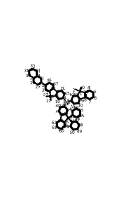 CC1(C)c2ccccc2-c2ccc(N(c3ccc4c(c3)C(C)(C)c3cc(-c5ccc6ccccc6c5)ccc3-4)c3ccc4c(c3)C(c3ccccc3)(c3ccccc3)c3ccccc3-4)cc21